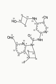 N#Cc1cnc(NC(=O)N2c3nc(C=O)ccc3C3(F)CC2C3)cc1NC1CC(O)C1